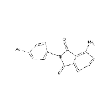 CC(=O)c1ccc(N2C(=O)c3cccc(N)c3C2=O)cc1